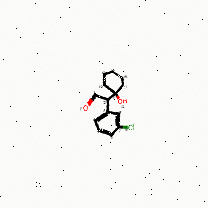 O=[C]C(c1cccc(Cl)c1)C1(O)CCCCC1